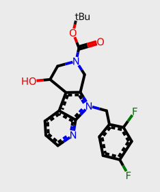 CC(C)(C)OC(=O)N1Cc2c(c3cccnc3n2Cc2ccc(F)cc2F)C(O)C1